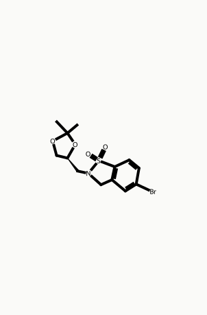 CC1(C)OC[C@H](CN2Cc3cc(Br)ccc3S2(=O)=O)O1